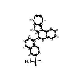 BC(C)(C)c1ccc2c(-c3cc4ccccc4c4c3oc3ncccc34)nccc2c1